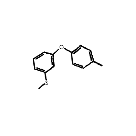 CSc1cccc(Oc2ccc(C)cc2)c1